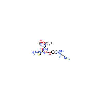 N=C(NCCCN)N1Cc2ccc(OCCO/N=C(\C(=O)NC3CN(S(=O)(=O)O)C3CN3CCOC3=O)c3csc(N)n3)cc2C1